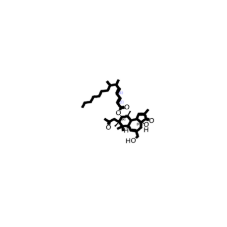 CCCCCCCC(C)C(C)/C=C/C=C/C(=O)O[C@@H]1[C@@H](C)C2C3C=C(C)C(=O)[C@@]3(O)CC(CO)=C[C@H]2C(C)(C)[C@]1(C)CC(C)=O